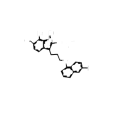 CCn1c(C(=O)O)c(CCCOc2cccc3cc(F)ccc23)c2ccc(Cl)c(Br)c21